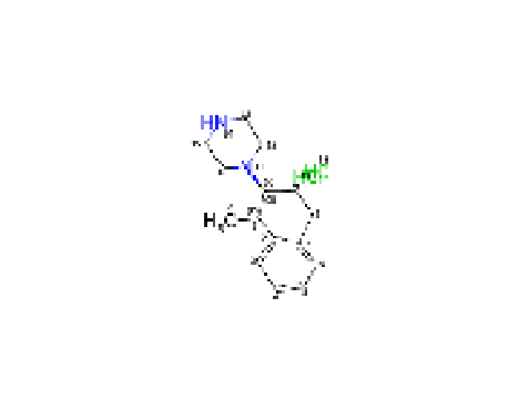 C[C@@H]1c2ccccc2CC[C@@H]1N1CCNCC1.Cl.Cl